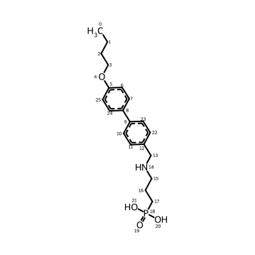 CCCCOc1ccc(-c2ccc(CNCCCP(=O)(O)O)cc2)cc1